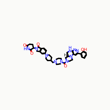 O=C1CCC(N2Cc3cc(N4CCC(CN5CCCN(C(=O)N6CCN7c8cc(-c9ccccc9O)nnc8NC[C@H]7C6)CC5)CC4)ccc3C2=O)C(=O)N1